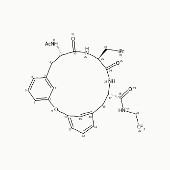 CC(=O)N[C@H]1Cc2cccc(c2)Oc2cccc(c2)C[C@@H](C(=O)NCC(F)(F)F)NC(=O)[C@H](CC(C)C)NC1=O